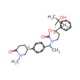 CC(c1ccc([C@@H]2CCC(=O)N(C)C2)cc1)N1CC[C@](CC(C)(C)O)(c2ccccc2)OC1=O